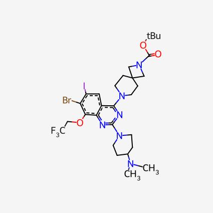 CN(C)C1CCN(c2nc(N3CCC4(CC3)CN(C(=O)OC(C)(C)C)C4)c3cc(I)c(Br)c(OCC(F)(F)F)c3n2)CC1